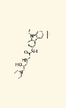 CCN(CC)CC(O)CNCC(=O)Nc1ccc2c(c1)c1cc(C(C)(C)C)ccc1n2CC